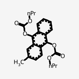 CCCOC(=O)Oc1c2ccccc2c(OC(=O)OCCC)c2cc(C)ccc12